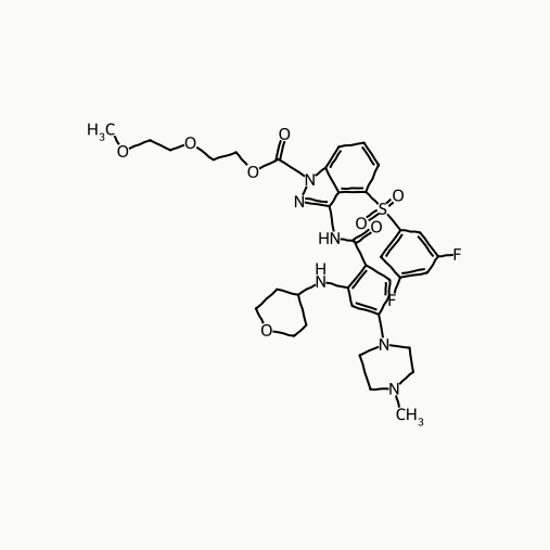 COCCOCCOC(=O)n1nc(NC(=O)c2ccc(N3CCN(C)CC3)cc2NC2CCOCC2)c2c(S(=O)(=O)c3cc(F)cc(F)c3)cccc21